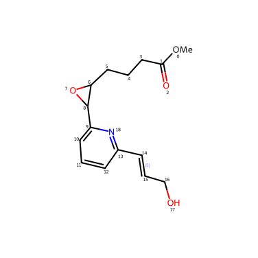 COC(=O)CCCC1OC1c1cccc(/C=C/CO)n1